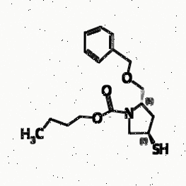 CCCCOC(=O)N1C[C@H](S)C[C@H]1COCc1ccccc1